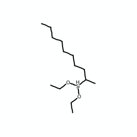 CCCCCCCCC(C)[SiH](OCC)OCC